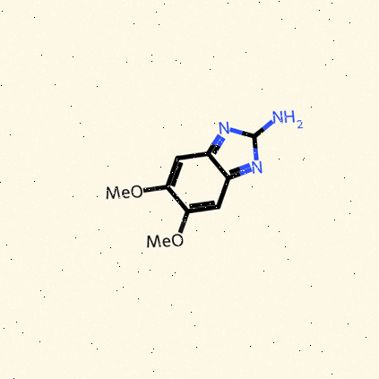 COc1cc2c(cc1OC)=NC(N)N=2